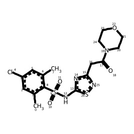 Cc1cc(Cl)cc(C)c1S(=O)(=O)Nc1nc(CC(=O)N2CCOCC2)ns1